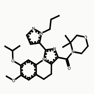 CCCn1nccc1-c1nc(C(=O)N2CCOCC2(C)C)c2n1-c1cc(OC(C)C)c(OC)cc1CC2